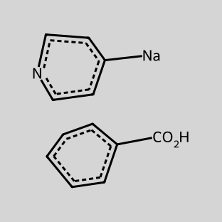 O=C(O)c1ccccc1.[Na][c]1ccncc1